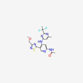 COCc1nsc(-c2cnc(NC(C)=O)cc2Nc2cc(C)nc(C(C)(F)F)n2)n1